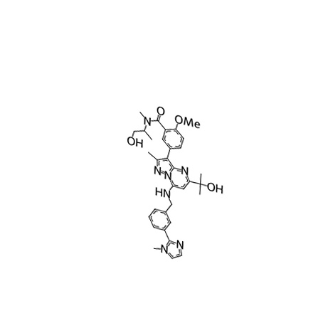 COc1ccc(-c2c(C)nn3c(NCc4cccc(-c5nccn5C)c4)cc(C(C)(C)O)nc23)cc1C(=O)N(C)C(C)CO